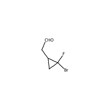 O=CCC1CC1(F)Br